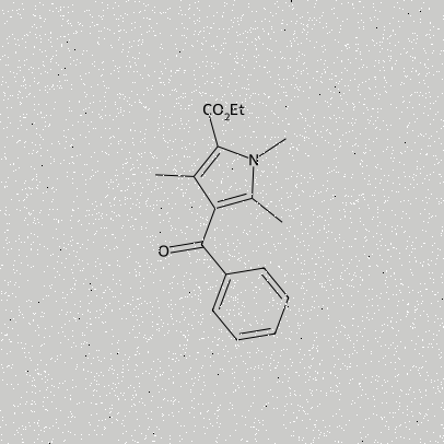 CCOC(=O)c1c(C)c(C(=O)c2ccccc2)c(C)n1C